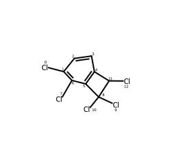 Clc1ccc2c(c1Cl)C(Cl)(Cl)C2Cl